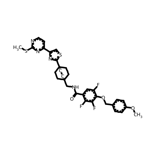 COc1ccc(COc2c(F)cc(C(=O)NCC34CCC(c5nc(-c6ccnc(SC)n6)cs5)(CC3)CC4)c(F)c2F)cc1